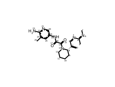 C=C(/C=N\C(C)=N/C)[C@@H]1CCCCN1C(=O)C(=O)Nc1cnc(N)c(C)c1